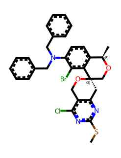 CSc1nc(Cl)c2c(n1)C[C@]1(CO[C@H](C)c3ccc(N(Cc4ccccc4)Cc4ccccc4)c(Br)c31)OC2